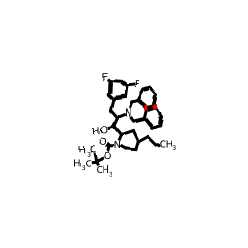 CCCC1CCN(C(=O)OC(C)(C)C)C(C(O)C(Cc2cc(F)cc(F)c2)N(Cc2ccccc2)Cc2ccccc2)C1